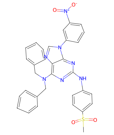 CS(=O)(=O)c1ccc(Nc2nc(N(Cc3ccccc3)Cc3ccccc3)c3ncn(-c4cccc([N+](=O)[O-])c4)c3n2)cc1